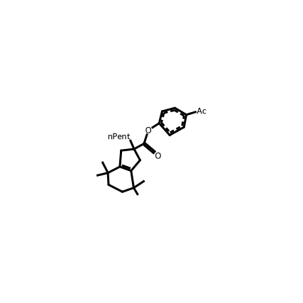 CCCCCC1(C(=O)Oc2ccc(C(C)=O)cc2)CC2=C(C1)C(C)(C)CCC2(C)C